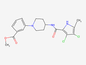 COC(=O)c1cccc(N2CCC(NC(=O)c3[nH]c(C)c(Cl)c3Cl)CC2)c1